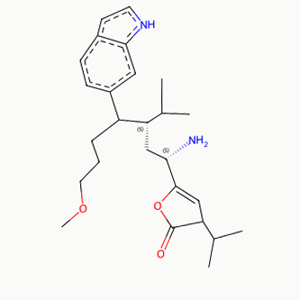 COCCCC(c1ccc2cc[nH]c2c1)[C@@H](C[C@H](N)C1=CC(C(C)C)C(=O)O1)C(C)C